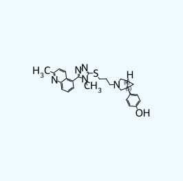 Cc1ccc2c(-c3nnc(SCCCN4C[C@@H]5C[C@]5(c5ccc(O)cc5)C4)n3C)cccc2n1